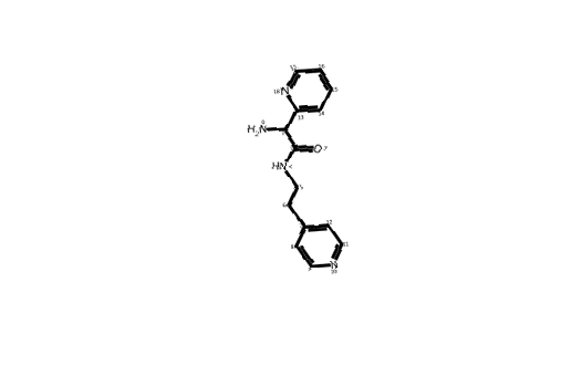 NC(C(=O)NCCc1ccncc1)c1ccccn1